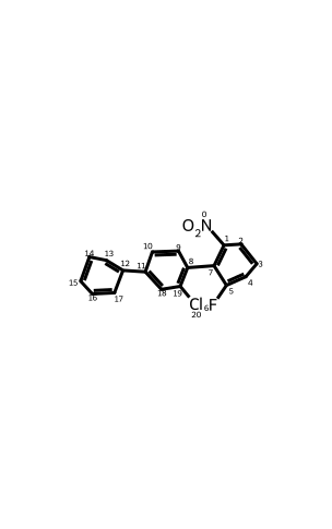 O=[N+]([O-])c1cccc(F)c1-c1ccc(-c2ccccc2)cc1Cl